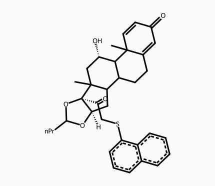 CCCC1O[C@@H]2CC3C4CCC5=CC(=O)C=CC5(C)C4[C@@H](O)CC3(C)[C@]2(C(=O)CSc2cccc3ccccc23)O1